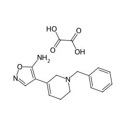 Nc1oncc1C1=CCCN(Cc2ccccc2)C1.O=C(O)C(=O)O